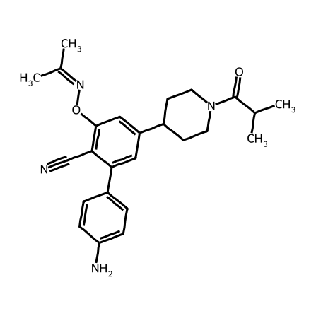 CC(C)=NOc1cc(C2CCN(C(=O)C(C)C)CC2)cc(-c2ccc(N)cc2)c1C#N